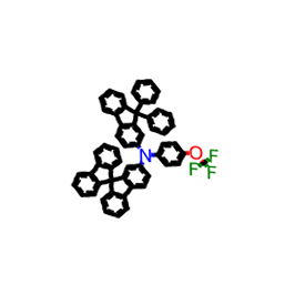 FC(F)(F)Oc1ccc(N(c2ccc3c(c2)C(c2ccccc2)(c2ccccc2)c2ccccc2-3)c2ccc3c(c2)C2(c4ccccc4-c4ccccc42)c2ccccc2-3)cc1